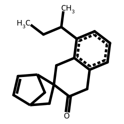 CCC(C)c1cccc2c1CC1(CC3C=CC1C3)C(=O)C2